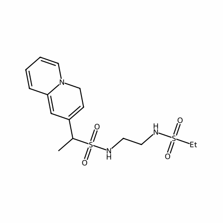 CCS(=O)(=O)NCCNS(=O)(=O)C(C)C1=CCN2C=CC=CC2=C1